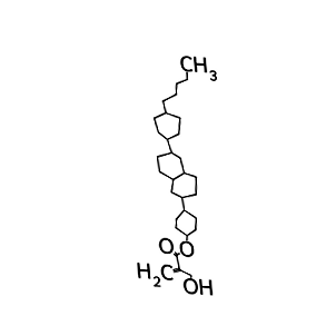 C=C(CO)C(=O)OC1CCC(C2CCC3CC(C4CCC(CCCCC)CC4)CCC3C2)CC1